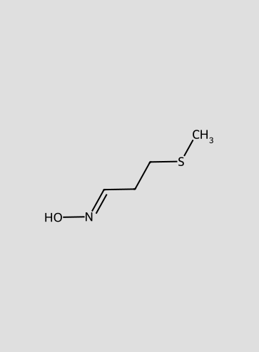 CSCCC=NO